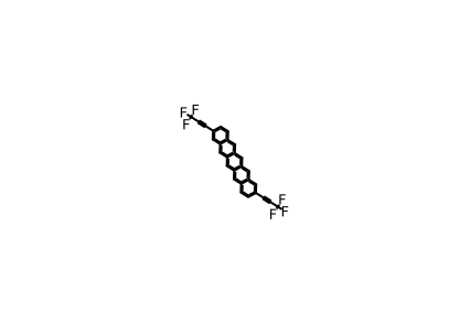 FC(F)(F)C#Cc1ccc2cc3cc4cc5cc(C#CC(F)(F)F)ccc5cc4cc3cc2c1